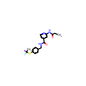 CCC(=O)Nc1cc(C(=O)NCc2ccc(SC(C)(F)I)cc2)ccn1